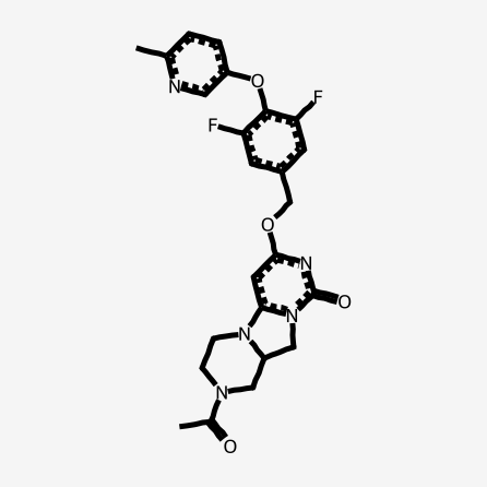 CC(=O)N1CCN2c3cc(OCc4cc(F)c(Oc5ccc(C)nc5)c(F)c4)nc(=O)n3CC2C1